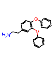 NCCc1ccc(Oc2ccccc2)c(Oc2ccccc2)c1